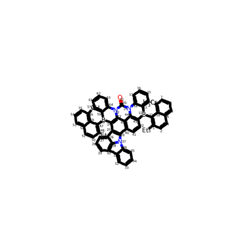 CCc1ccc2cccc(C)c2c1B1c2ccccc2-n2c(=O)n3c4c(c5c6cccc7c8ccccc8n(c76)c5c5ccc1c2c54)B(c1c(CC)ccc2cccc(C)c12)c1ccccc1-3